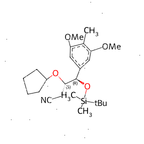 COc1cc([C@@H](O[Si](C)(C)C(C)(C)C)[C@H](CC#N)OC2CCCC2)cc(OC)c1C